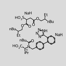 CCCCC(=O)N(Cc1ccc(-c2ccccc2-c2nnn[nH]2)cc1)[C@H](C(=O)O)C(C)C.CCCCC(CC)COC(=O)CC(C(=O)OCC(CC)CCCC)S(=O)(=O)O.[NaH].[NaH]